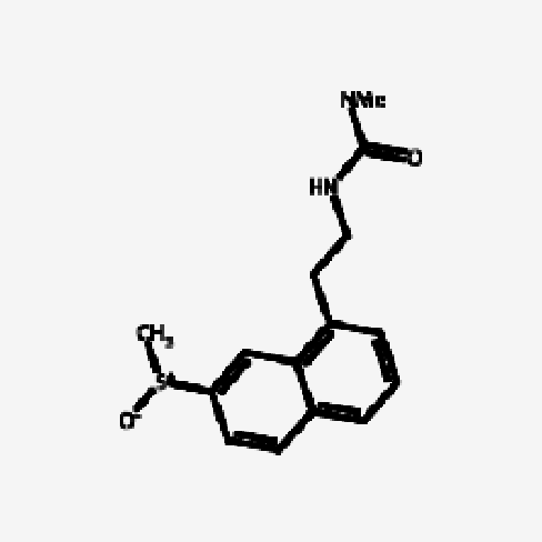 CNC(=O)NCCc1cccc2ccc([S+](C)[O-])cc12